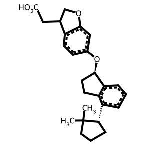 CC1(C)CCC[C@H]1c1cccc2c1CC[C@H]2Oc1ccc2c(c1)OCC2CC(=O)O